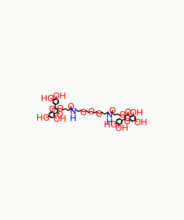 O=C(CCCOc1c(-c2ccc(O)c(O)c2)oc2cc(O)cc(O)c2c1=O)NCCCOCCOCCOCCCNC(=O)CCCOc1c(-c2ccc(O)c(O)c2)oc2cc(O)cc(O)c2c1=O